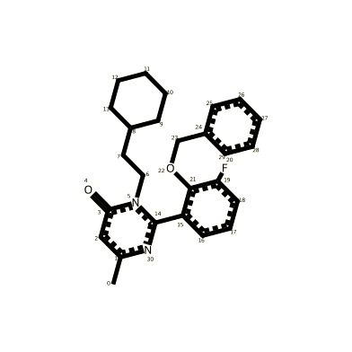 Cc1cc(=O)n(CCC2CCCCC2)c(-c2cccc(F)c2OCc2ccccc2)n1